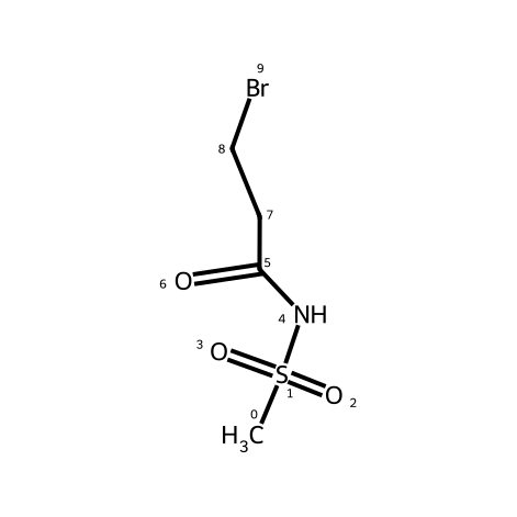 CS(=O)(=O)NC(=O)CCBr